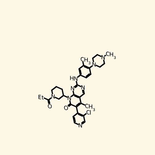 CCC(=O)N1CCCC(n2c(=O)c(-c3ccncc3Cl)c(C)c3cnc(Nc4ccc(N5CCN(C)CC5)c(C)c4)nc32)C1